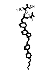 C=C(C)C(=O)OCC(COC(O)C(=C)CO)CC1CCC(c2ccc3cc(CCC4=CC=C(C5=CC=C(CCCCC)CC5)CC4)ccc3c2)CC1